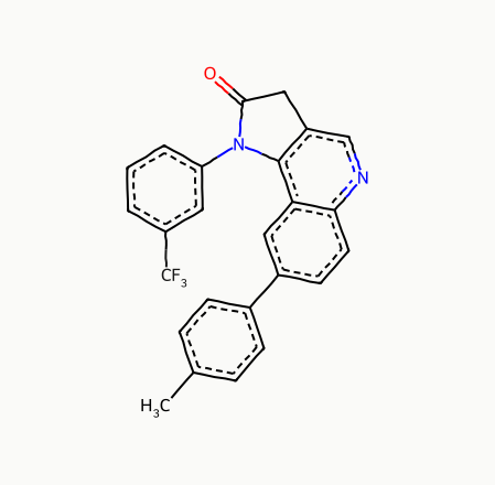 Cc1ccc(-c2ccc3ncc4c(c3c2)N(c2cccc(C(F)(F)F)c2)C(=O)C4)cc1